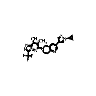 Cc1c(N2CCc3ncc(-c4cnn(C5CC5)c4)cc3C2)nn2c(C(F)(F)F)nnc2c1C